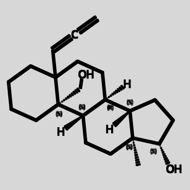 C=C=CC12CCCC[C@]1(CO)[C@H]1CC[C@]3(C)[C@@H](O)CC[C@H]3[C@@H]1CC2